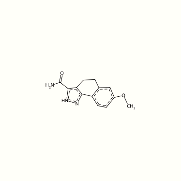 COc1ccc2c(c1)CCc1c-2n[nH]c1C(N)=O